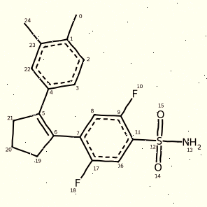 Cc1ccc(C2=C(c3cc(F)c(S(N)(=O)=O)cc3F)CCC2)cc1C